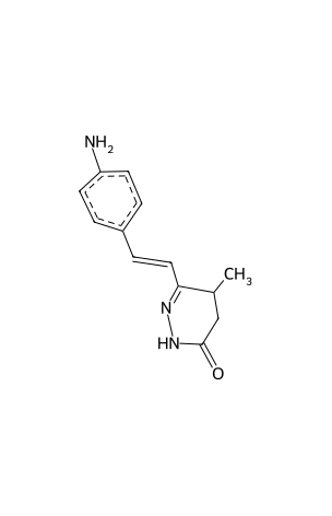 CC1CC(=O)NN=C1C=Cc1ccc(N)cc1